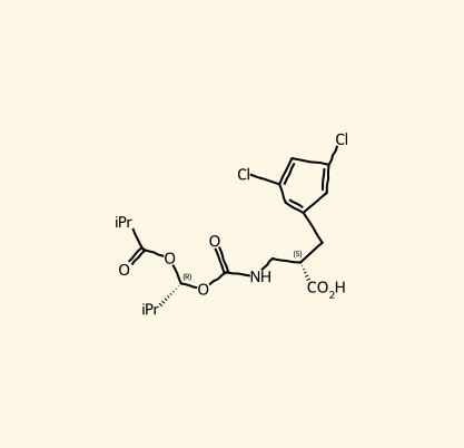 CC(C)C(=O)O[C@H](OC(=O)NC[C@H](Cc1cc(Cl)cc(Cl)c1)C(=O)O)C(C)C